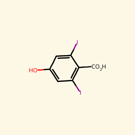 O=C(O)c1c(I)cc(O)cc1I